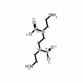 NCCN(CCN(CCN)[N+](=O)[O-])[N+](=O)[O-]